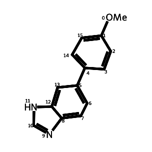 [CH2]Oc1ccc(-c2ccc3nc[nH]c3c2)cc1